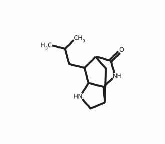 CC(C)CC1C2CC3CNC1C3NC2=O